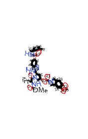 COC(=O)NC(C(=O)N1CC(OC(=O)N2Cc3cc4c(cc3C2)OCO4)CC1c1nc2cc(B3NC(C)(C)C(C)(C)O3)ccc2[nH]1)C(C)C